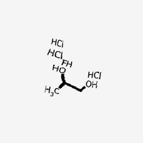 CC(O)CO.Cl.Cl.Cl.F